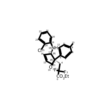 CCOC(=O)C(F)(F)C[C@]1(c2ccc(C)cc2)C(=O)C=C[C@H]1Nc1ccccc1Cl